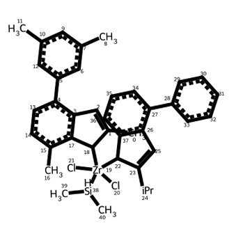 CC1=Cc2c(-c3cc(C)cc(C)c3)ccc(C)c2[CH]1[Zr]([Cl])([Cl])([CH]1C(C(C)C)=Cc2c(-c3ccccc3)cccc21)[SiH](C)C